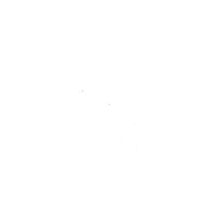 Cl[Si](Cl)(Cl)/C=C/c1ccccc1